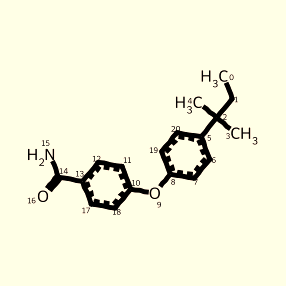 CCC(C)(C)c1ccc(Oc2ccc(C(N)=O)cc2)cc1